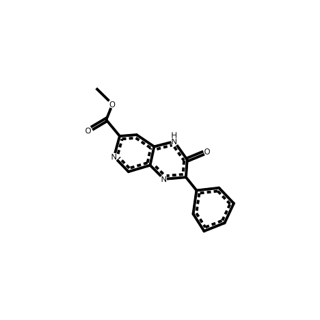 COC(=O)c1cc2[nH]c(=O)c(-c3ccccc3)nc2cn1